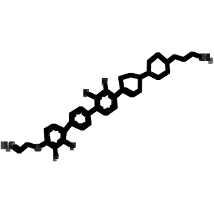 C=CCOc1ccc(-c2ccc(-c3ccc(C4=CCC(C5CCC(CCCC)CC5)CC4)c(F)c3F)cc2)c(F)c1F